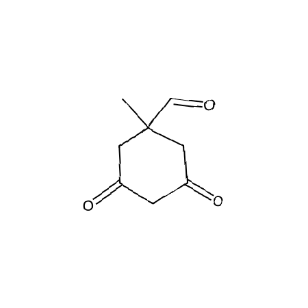 CC1(C=O)CC(=O)CC(=O)C1